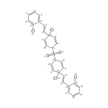 O=S(=O)(C1C=CC(Cl)(/C=C/c2ccccc2Cl)C=C1)C1C=CC(Cl)(/C=C/c2ccccc2Cl)C=C1